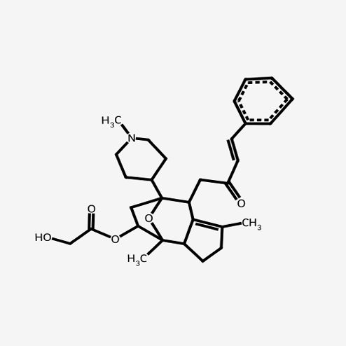 CC1=C2C(CC1)C1(C)OC(C3CCN(C)CC3)(CC1OC(=O)CO)C2CC(=O)/C=C/c1ccccc1